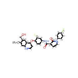 COc1cc2nccc(Oc3ccc(NC(=O)c4cccn(-c5ccc(F)cc5)c4=O)cc3F)c2cc1CO